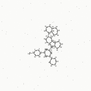 Fc1ccc(-c2nc(-c3ccccc3)nc(-n3c4ccccc4c4c5c(ccc43)-c3cccc4cccc-5c34)n2)cc1